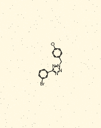 [O]c1ccc(Cn2nnc(-c3cccc(Br)c3)n2)cc1